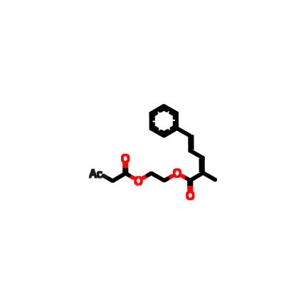 CC(=O)CC(=O)OCCOC(=O)C(C)=CC=Cc1ccccc1